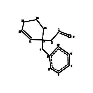 O=CCC1(Cc2ccccc2)C=CCCC1